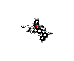 COC(OC)C(C)Oc1nc(N2CC3CCC(C2)N3C(=O)OC(C)(C)C)c2cc(Cl)c(-c3cc(O)cc4ccccc34)c(F)c2n1